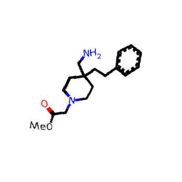 COC(=O)CN1CCC(CN)(CCc2ccccc2)CC1